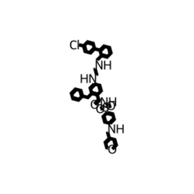 O=C(NS(=O)(=O)c1ccc(NCC2=CCOC=C2)cc1)c1ccc(NCCNCc2ccccc2-c2ccc(Cl)cc2)cc1Cc1ccccc1